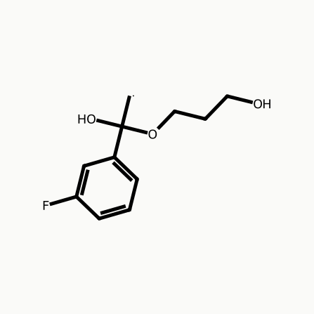 [CH2]C(O)(OCCCO)c1cccc(F)c1